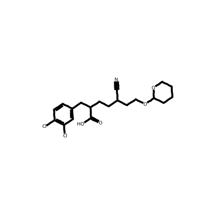 N#CC(CCOC1CCCCO1)CCC(Cc1ccc(Cl)c(Cl)c1)C(=O)O